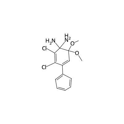 COC1(OC)C=C(c2ccccc2)C(Cl)=C(Cl)C1(N)N